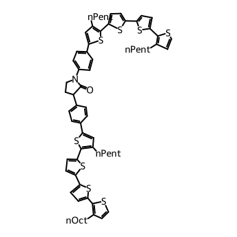 CCCCCCCCc1ccsc1-c1ccc(-c2ccc(-c3sc(-c4ccc(C5CCN(c6ccc(-c7cc(CCCCC)c(-c8ccc(-c9ccc(-c%10sccc%10CCCCC)s9)s8)s7)cc6)C5=O)cc4)cc3CCCCC)s2)s1